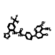 Nc1c2c(=O)ccn(-c3ccc(NC(=O)Nc4cc(C(F)(F)F)ccc4-n4cncn4)cc3)c2nc[n+]1[O-]